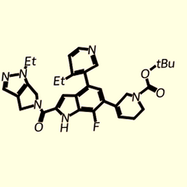 CCc1ccncc1-c1cc(C2=CCCN(C(=O)OC(C)(C)C)C2)c(F)c2[nH]c(C(=O)N3Cc4cnn(CC)c4C3)cc12